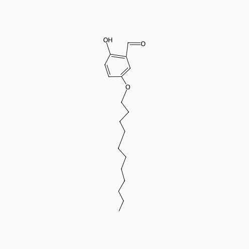 CCCCCCCCCCCOc1ccc(O)c(C=O)c1